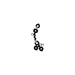 O=C(CCCCN1CCC(C(O)(c2ccccc2)c2ccccc2)CC1)c1ccc(N2CCCCC2)cc1